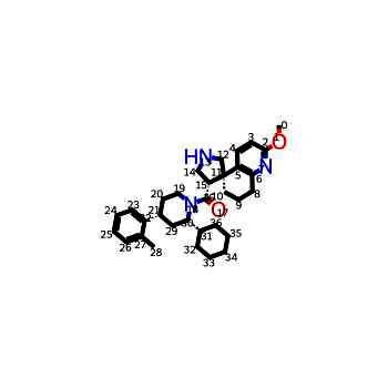 COc1ccc2c(n1)CCC[C@]21CNC[C@H]1C(=O)N1CC[C@@H](c2ccccc2C)C[C@H]1C1CCCCC1